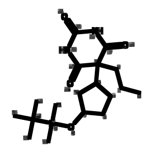 CCCC1(C2CCC(O[Si](C)(C)C(C)(C)C)C2)C(=O)NC(=O)NC1=O